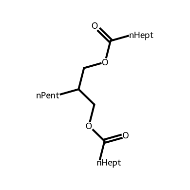 CCCCCCCC(=O)OCC(CCCCC)COC(=O)CCCCCCC